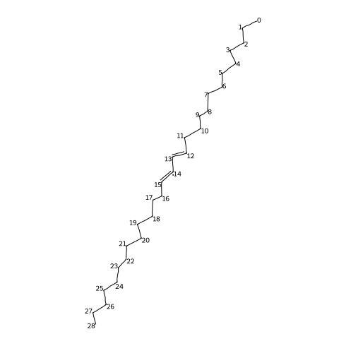 CCCCCCCCCCCCC=C/[C]=C/CCCCCCCCCCCCC